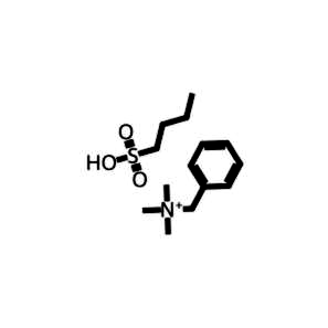 CCCCS(=O)(=O)O.C[N+](C)(C)Cc1ccccc1